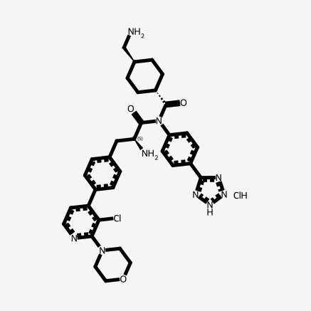 Cl.NC[C@H]1CC[C@H](C(=O)N(C(=O)[C@@H](N)Cc2ccc(-c3ccnc(N4CCOCC4)c3Cl)cc2)c2ccc(-c3nn[nH]n3)cc2)CC1